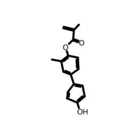 C=C(C)C(=O)Oc1ccc(-c2ccc(O)cc2)cc1C